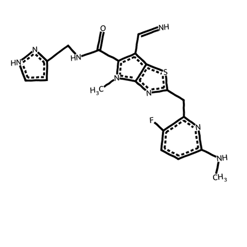 CNc1ccc(F)c(Cc2nc3c(s2)c(C=N)c(C(=O)NCc2cc[nH]n2)n3C)n1